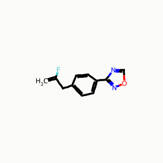 C=C(F)Cc1ccc(-c2ncon2)cc1